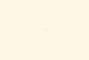 Cc1ccc2c(c1)c1c(n2-c2ccccc2)C=CC(C)C1